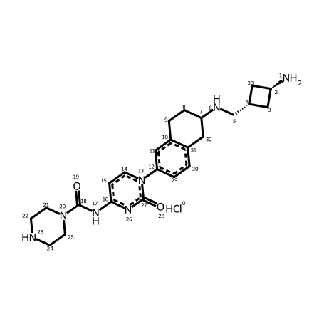 Cl.N[C@H]1C[C@H](CNC2CCc3cc(-n4ccc(NC(=O)N5CCNCC5)nc4=O)ccc3C2)C1